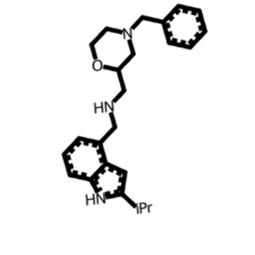 CC(C)c1cc2c(CNCC3CN(Cc4ccccc4)CCO3)cccc2[nH]1